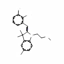 COCCN1/C(=C/c2cccc(O)c2O)C(C)(C)c2cc(Cl)ccc21